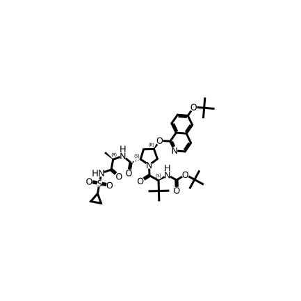 C[C@@H](NC(=O)[C@@H]1C[C@@H](Oc2nccc3cc(OC(C)(C)C)ccc23)CN1C(=O)[C@@H](NC(=O)OC(C)(C)C)C(C)(C)C)C(=O)NS(=O)(=O)C1CC1